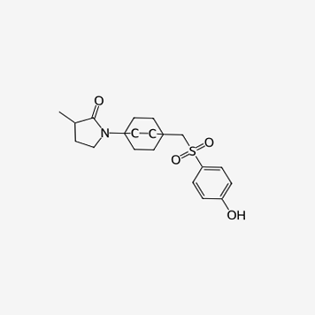 CC1CCN(C23CCC(CS(=O)(=O)c4ccc(O)cc4)(CC2)CC3)C1=O